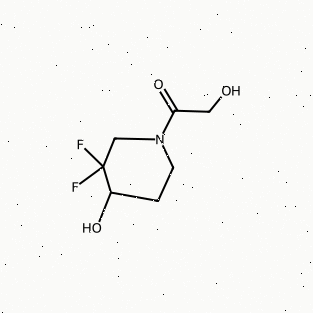 O=C(CO)N1CCC(O)C(F)(F)C1